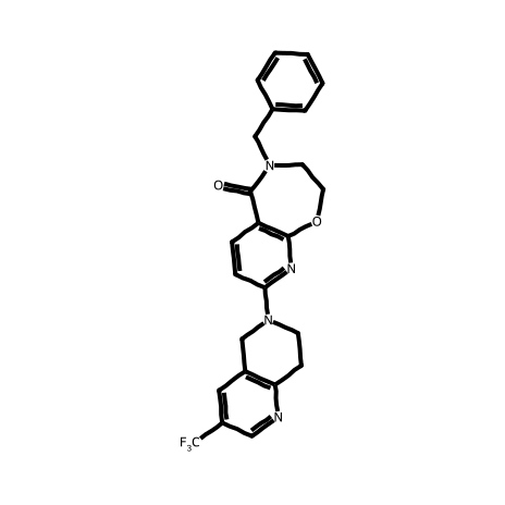 O=C1c2ccc(N3CCc4ncc(C(F)(F)F)cc4C3)nc2OCCN1Cc1ccccc1